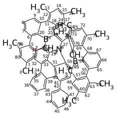 Cc1cc(C)c(-c2cccc(-c3c(C)cc(C)cc3C)c2B2c3cccc4c3-n3c5c2ccc2c6ccccc6c6c(-c7ccccc7)cc(c3c6c25)B4c2c(-c3c(C)cc(C)cc3C)cccc2-c2c(C)cc(C)cc2C)c(C)c1